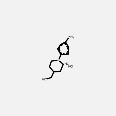 Cl.Cl.Nc1ccc(N2CCC(CO)CC2)cc1